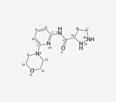 O=C(Nc1cccc(N2CCOCC2)n1)C1CCNN1